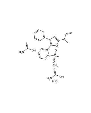 C.C=CC(C)c1nc(-c2ccccc2)c(-c2ccccc2S(C)(=O)=O)o1.NC(O)=S.NC(O)=S.O